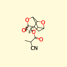 CC(C#N)C(=O)OC1C2CC3(C(F)(F)F)C(=O)OC1C3O2